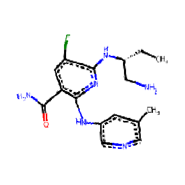 CC[C@H](CN)Nc1nc(Nc2cncc(C)c2)c(C(N)=O)cc1F